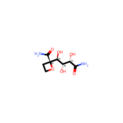 NC(=O)[C@@H](O)[C@H](O)[C@H](O)[C@@]1(C(N)=O)CCO1